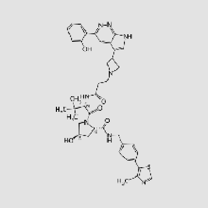 Cc1ncsc1-c1ccc(CNC(=O)[C@@H]2C[C@@H](O)CN2C(=O)[C@@H](NC(=O)CCN2CC(c3c[nH]c4nnc(-c5ccccc5O)cc34)C2)C(C)(C)C)cc1